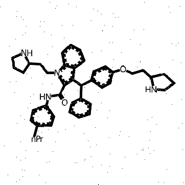 CCCc1ccc(NC(=O)c2c(C(c3ccccc3)c3ccc(OCCC4CCCN4)cc3)c3ccccc3n2CCC2CCCN2)cc1